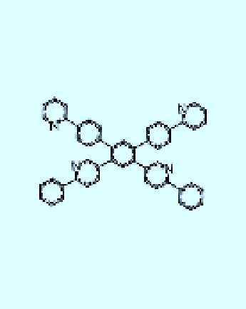 c1ccc(-c2ccc(-c3cc(-c4ccc(-c5ccccc5)nc4)c(-c4ccc(-c5ccccn5)cc4)cc3-c3ccc(-c4ccccn4)cc3)cn2)cc1